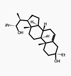 CC[C@]1(O)CC[C@@]2(C)C(=CC[C@H]3[C@@H]4CC[C@H]([C@H](C)[C@H](O)C(C)C)[C@@]4(C)CC[C@@H]32)C1